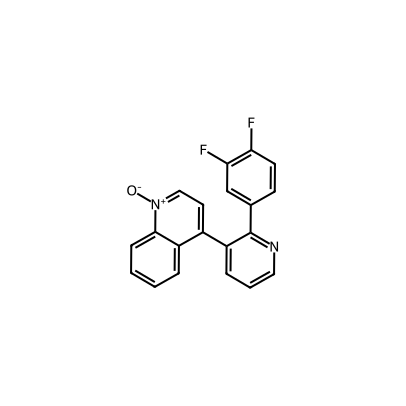 [O-][n+]1ccc(-c2cccnc2-c2ccc(F)c(F)c2)c2ccccc21